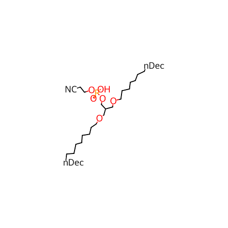 CCCCCCCCCCCCCCCCCCOCC(COCCCCCCCCCCCCCCCCC)COP(=O)(O)OCCC#N